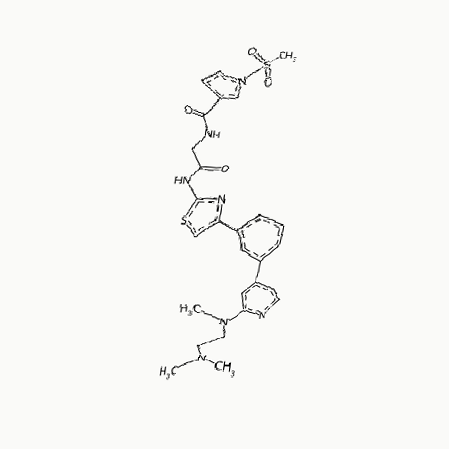 CN(C)CCN(C)c1cc(-c2cccc(-c3csc(NC(=O)CNC(=O)c4ccn(S(C)(=O)=O)c4)n3)c2)ccn1